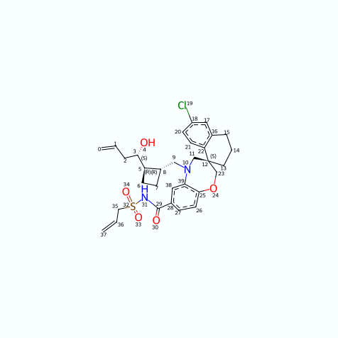 C=CC[C@H](O)[C@@H]1CC[C@H]1CN1C[C@@]2(CCCc3cc(Cl)ccc32)COc2ccc(C(=O)NS(=O)(=O)CC=C)cc21